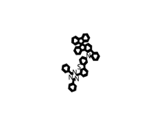 c1ccc(-c2nc(-c3ccccc3)nc(-c3cccc4c3sc3ccc(-n5c6ccccc6c6ccc7c(c65)-c5ccccc5C75c6ccccc6-c6ccccc65)cc34)n2)cc1